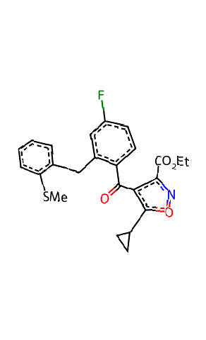 CCOC(=O)c1noc(C2CC2)c1C(=O)c1ccc(F)cc1Cc1ccccc1SC